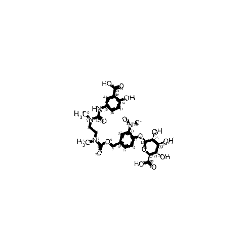 CN(CCN(C)C(=O)OCc1ccc(O[C@@H]2O[C@H](C(=O)O)[C@@H](O)[C@H](O)[C@H]2O)c([N+](=O)[O-])c1)C(=O)Nc1ccc(O)c(C(=O)O)c1